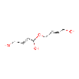 OCC=CCOC(O)C=CCO